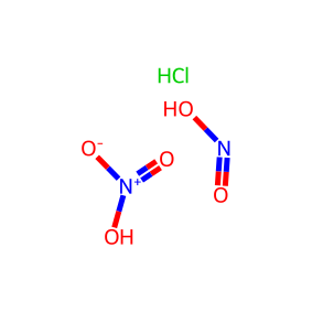 Cl.O=NO.O=[N+]([O-])O